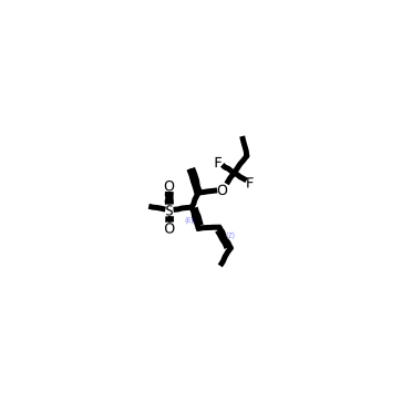 C=C(OC(F)(F)CC)/C(=C\C=C/C)S(C)(=O)=O